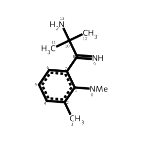 CNc1c(C)cccc1C(=N)C(C)(C)N